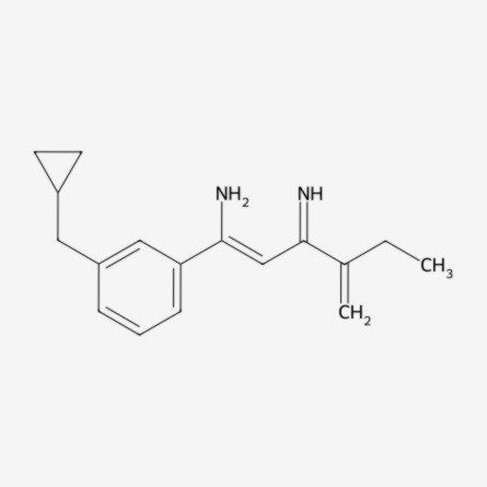 C=C(CC)C(=N)/C=C(\N)c1cccc(CC2CC2)c1